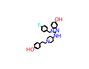 Oc1ccc(CCN2CCC(Nc3nc4cc(O)ccc4n3Cc3ccc(F)cc3)CC2)cc1